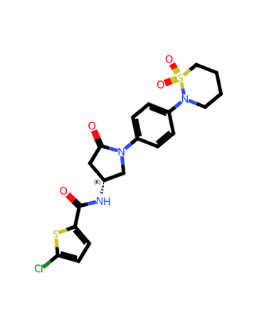 O=C(N[C@@H]1CC(=O)N(c2ccc(N3CCCCS3(=O)=O)cc2)C1)c1ccc(Cl)s1